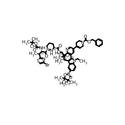 CCn1c(-c2cc(C3=CCN(C(=O)OCc4ccccc4)CC3)cnc2[C@H](C)OC)c(CC(C)(C)COC(=O)[C@@H]2CCCN(C(=O)[C@@H](NC(=O)OC(C)(C)C)[C@H](C)c3nc(Br)cs3)N2)c2cc(B3OC(C)(C)C(C)(C)O3)ccc21